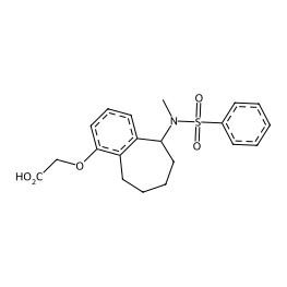 CN(C1CCCCc2c(OCC(=O)O)cccc21)S(=O)(=O)c1ccccc1